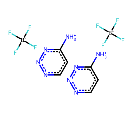 F[B-](F)(F)F.F[B-](F)(F)F.[NH3+]c1ccnnn1.[NH3+]c1ccnnn1